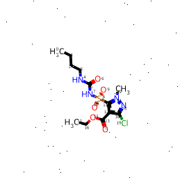 CCCCNC(=O)NS(=O)(=O)c1c(C(=O)OCC)c(Cl)nn1C